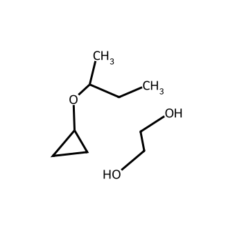 CCC(C)OC1CC1.OCCO